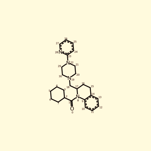 O=C(C1CCCCC1)N1c2ccccc2CCC1CN1CCN(c2ccccn2)CC1